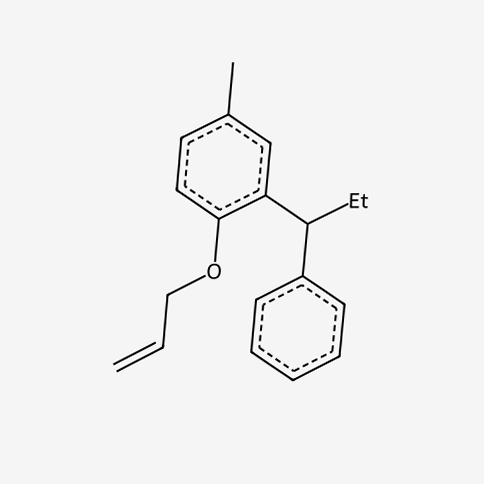 C=CCOc1ccc(C)cc1C(CC)c1ccccc1